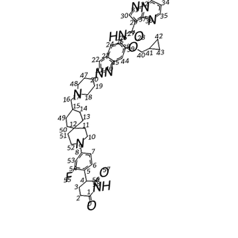 O=C1CCC(c2ccc(N3CCC4(CCC(CN5CCC(n6cc7cc(NC(=O)c8cnn9cccnc89)c(OCC8CC8)cc7n6)CC5)CC4)CC3)cc2F)C(=O)N1